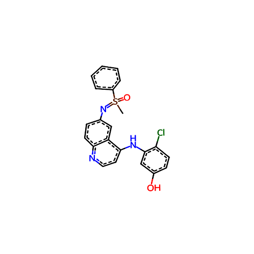 CS(=O)(=Nc1ccc2nccc(Nc3cc(O)ccc3Cl)c2c1)c1ccccc1